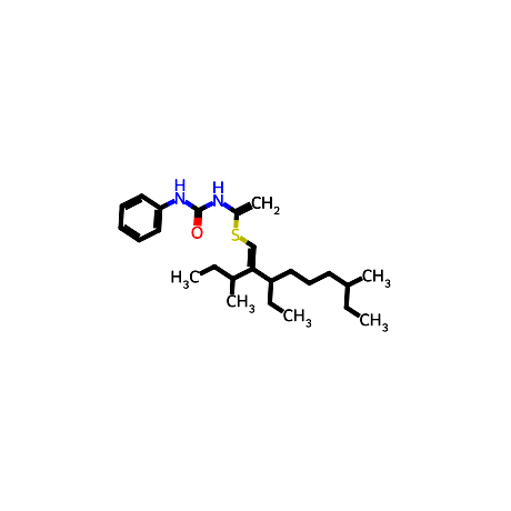 C=C(NC(=O)Nc1ccccc1)S/C=C(\C(C)CC)C(CC)CCCC(C)CC